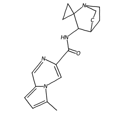 Cc1ccc2cnc(C(=O)NC3C4CCN(CC4)C34CC4)cn12